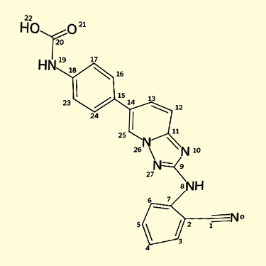 N#Cc1ccccc1Nc1nc2ccc(-c3ccc(NC(=O)O)cc3)cn2n1